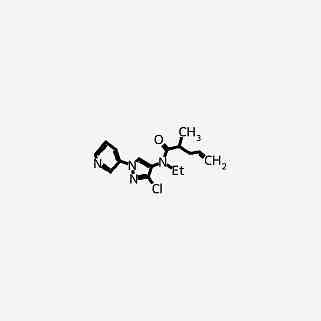 C=CCC(C)C(=O)N(CC)c1cn(-c2cccnc2)nc1Cl